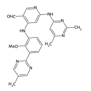 COc1c(Nc2cc(Nc3cc(C)nc(C)n3)ncc2C=O)cccc1-c1ncc(C)cn1